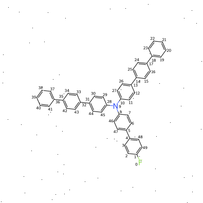 Fc1ccc(-c2ccc(N(c3ccc(-c4ccc(-c5ccccc5)cc4)cc3)c3ccc(-c4ccc(-c5ccccc5)cc4)cc3)cc2)cc1